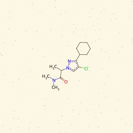 CC(C(=O)N(C)C)n1cc(Cl)c(C2CCCCC2)n1